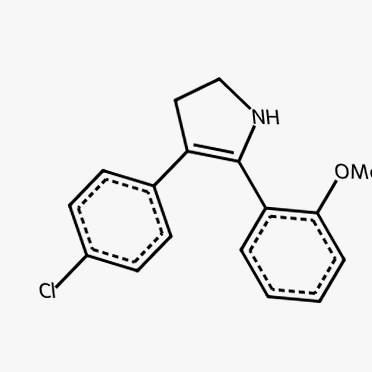 COc1ccccc1C1=C(c2ccc(Cl)cc2)CCN1